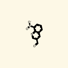 O=Cc1cnc2c([N+](=O)[O-])cccc2c1